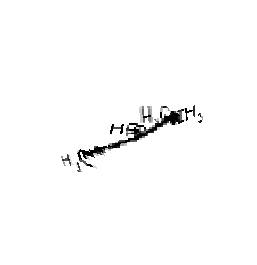 CCCCCC=CCC=CCCCCCCCC(CCCCCCCCCC(C)C1CCN(C)CC1)OC(=O)O